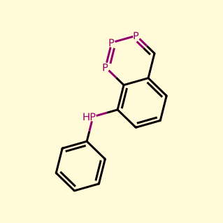 c1ccc(Pc2cccc3cpppc23)cc1